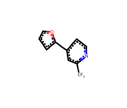 FC(F)(F)c1cc(-c2ccco2)ccn1